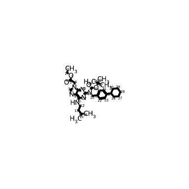 CCOC(=O)Cn1cnc2c(NCCC(C)C)nc(N(Cc3ccc(C4CCCCC4)cc3)C(=O)OC(C)(C)C)nc21